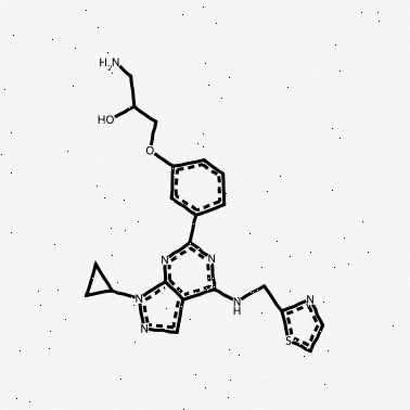 NCC(O)COc1cccc(-c2nc(NCc3nccs3)c3cnn(C4CC4)c3n2)c1